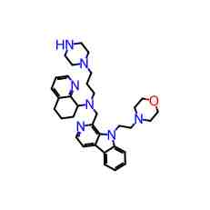 c1cnc2c(c1)CCCC2N(CCCN1CCNCC1)Cc1nccc2c3ccccc3n(CCN3CCOCC3)c12